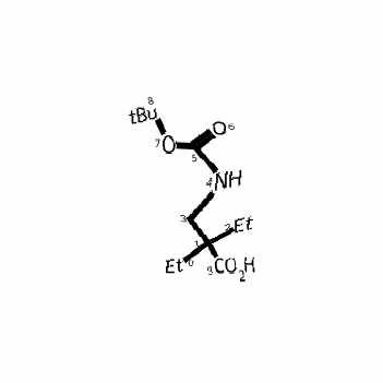 CCC(CC)(CNC(=O)OC(C)(C)C)C(=O)O